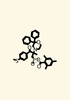 CSc1ccc(C(=O)C(C)(C=[P+]([O-])OC(=O)c2c(C)cc(C)cc2C)N2CCOC(c3ccccc3)(c3ccccc3)C2)cc1